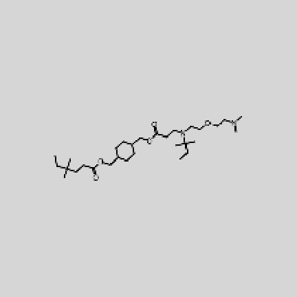 CCC(C)(C)CCC(=O)OCC1CCC(COC(=O)CCN(CCOCCN(C)C)C(C)(C)CC)CC1